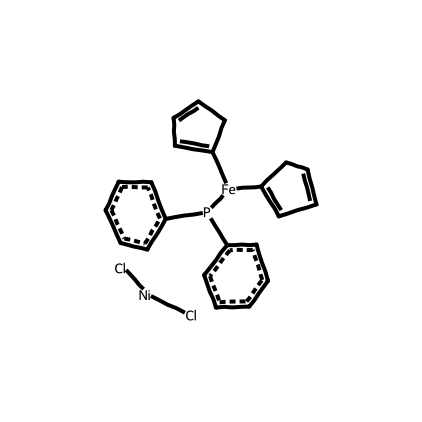 C1=CC[C]([Fe]([C]2=CC=CC2)[P](c2ccccc2)c2ccccc2)=C1.[Cl][Ni][Cl]